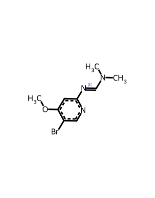 COc1cc(/N=C/N(C)C)ncc1Br